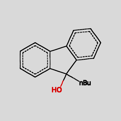 [CH2]CCCC1(O)c2ccccc2-c2ccccc21